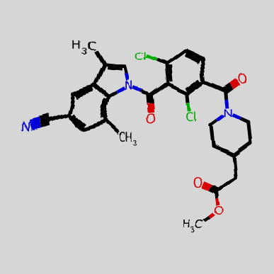 COC(=O)CC1CCN(C(=O)c2ccc(Cl)c(C(=O)n3cc(C)c4cc(C#N)cc(C)c43)c2Cl)CC1